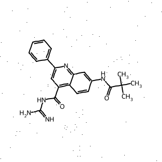 CC(C)(C)C(=O)Nc1ccc2c(C(=O)NC(=N)N)cc(-c3ccccc3)nc2c1